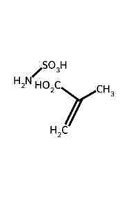 C=C(C)C(=O)O.NS(=O)(=O)O